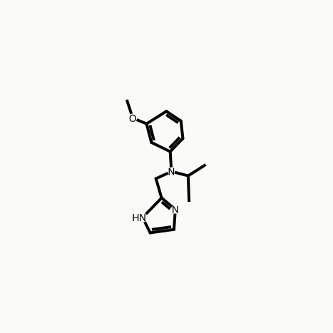 COc1cccc(N(Cc2ncc[nH]2)C(C)C)c1